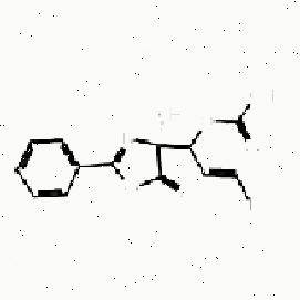 CC(=O)OC(/C=C/I)[C@]1(C)N=C(c2ccccc2)OC1=O